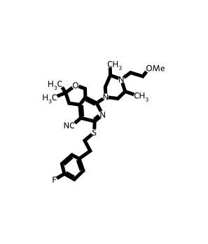 COCCN1C(C)CN(c2nc(SCCc3ccc(F)cc3)c(C#N)c3c2COC(C)(C)C3)CC1C